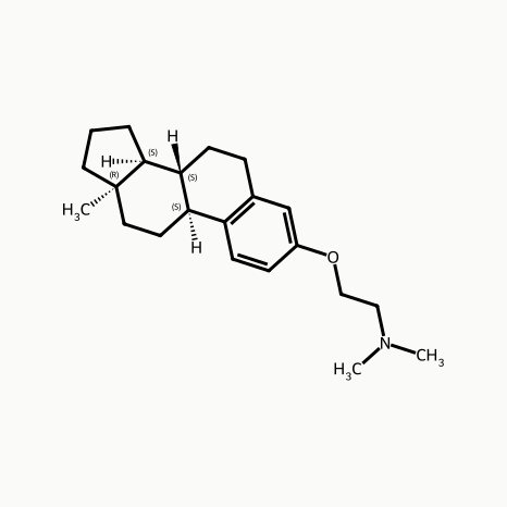 CN(C)CCOc1ccc2c(c1)CC[C@@H]1[C@@H]2CC[C@@]2(C)CCC[C@@H]12